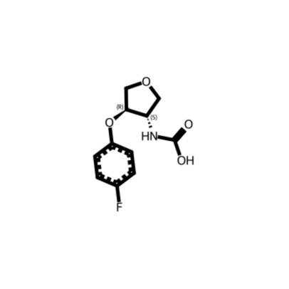 O=C(O)N[C@H]1COC[C@@H]1Oc1ccc(F)cc1